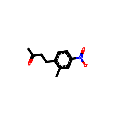 CC(=O)CCc1ccc([N+](=O)[O-])cc1C